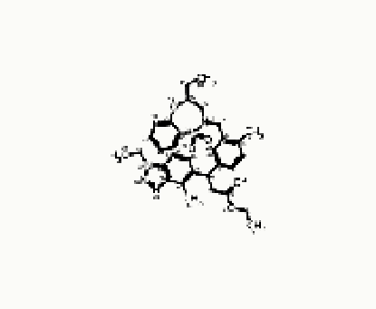 CCOC(=O)CC(c1ccc(C)c(CN2CC(CC)Oc3ncccc3S2(=O)=O)c1)c1ccc2c(nnn2CC)c1C